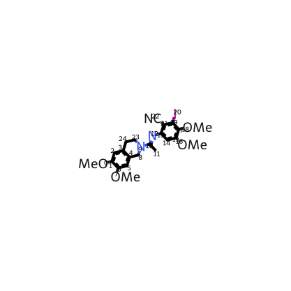 COc1cc2c(cc1OC)CN(C(C)=Nc1cc(OC)c(OC)c(I)c1C#N)CC2